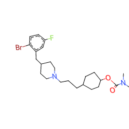 CN(C)C(=O)OC1CCC(CCCN2CCC(Cc3cc(F)ccc3Br)CC2)CC1